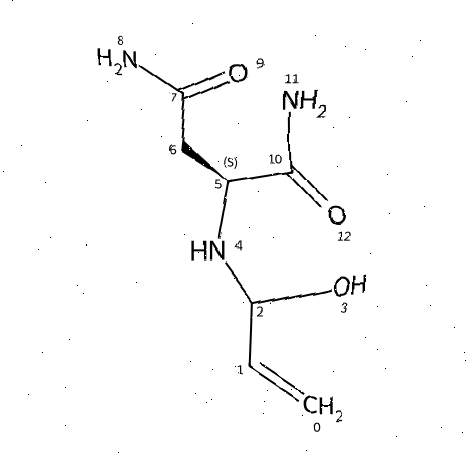 C=CC(O)N[C@@H](CC(N)=O)C(N)=O